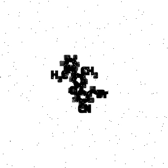 Cc1cc2c(cc1-c1cccc[n+]1C)oc1cc(C#N)cc(CC(C)C)c12